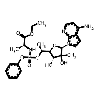 CCOC(=O)[C@H](C)NP(=O)(Oc1ccccc1)O[C@@H](C)[C@H]1O[C@@H](n2ccc3c(N)ccnc32)[C@](C)(O)[C@@H]1O